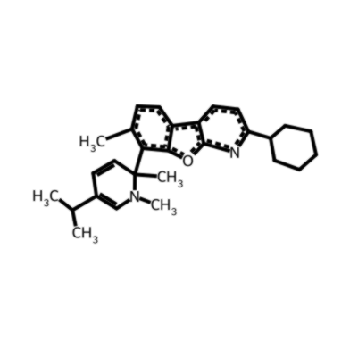 Cc1ccc2c(oc3nc(C4CCCCC4)ccc32)c1C1(C)C=CC(C(C)C)=CN1C